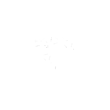 O=C(NC(Cc1ccc(OC(F)(F)F)cc1)C(=O)O)c1ccc(Oc2ccc(Cl)cc2)cc1